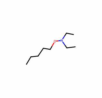 CCCCCON(CC)CC